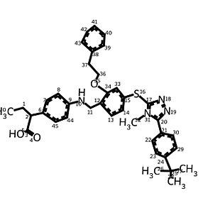 CCC(C(=O)O)c1ccc(NCc2ccc(Sc3nnc(-c4ccc(C(C)(C)C)cc4)n3C)cc2OCCc2ccccc2)cc1